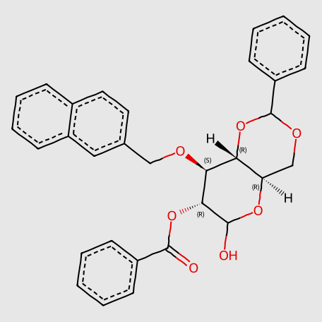 O=C(O[C@H]1C(O)O[C@@H]2COC(c3ccccc3)O[C@H]2[C@@H]1OCc1ccc2ccccc2c1)c1ccccc1